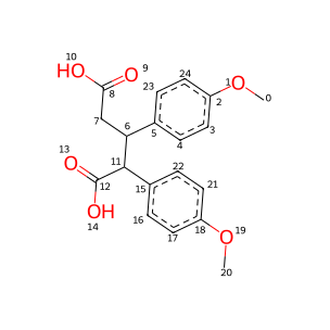 COc1ccc(C(CC(=O)O)C(C(=O)O)c2ccc(OC)cc2)cc1